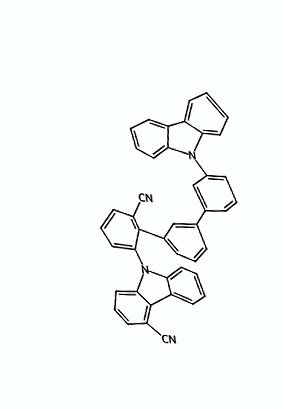 N#Cc1cccc(-n2c3ccccc3c3c(C#N)cccc32)c1-c1cccc(-c2cccc(-n3c4ccccc4c4ccccc43)c2)c1